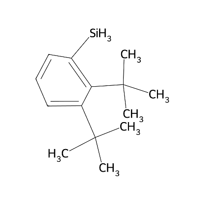 CC(C)(C)c1cccc([SiH3])c1C(C)(C)C